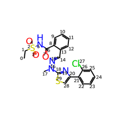 CCS(=O)(=O)NC(=O)c1ccccc1/C=N/N(C)c1nc(-c2ccccc2Cl)cs1